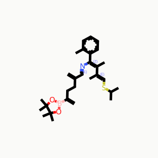 C=C(/C=N/C(=C(C)\C(C)=C\SC(C)C)c1ccccc1C)CCC(=C)B1OC(C)(C)C(C)(C)O1